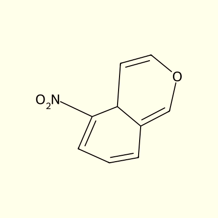 O=[N+]([O-])C1=CC=CC2=COC=CC21